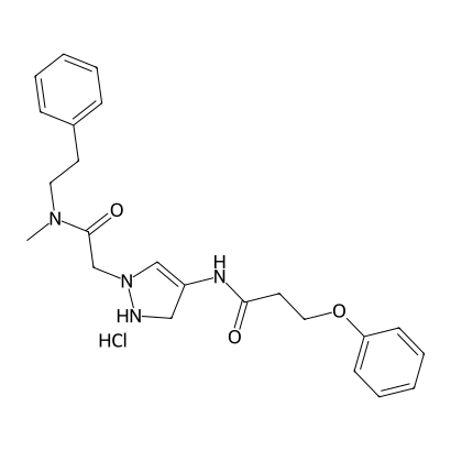 CN(CCc1ccccc1)C(=O)CN1C=C(NC(=O)CCOc2ccccc2)CN1.Cl